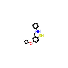 Sc1ccc(OC2CCC2)cc1CNc1ccccc1